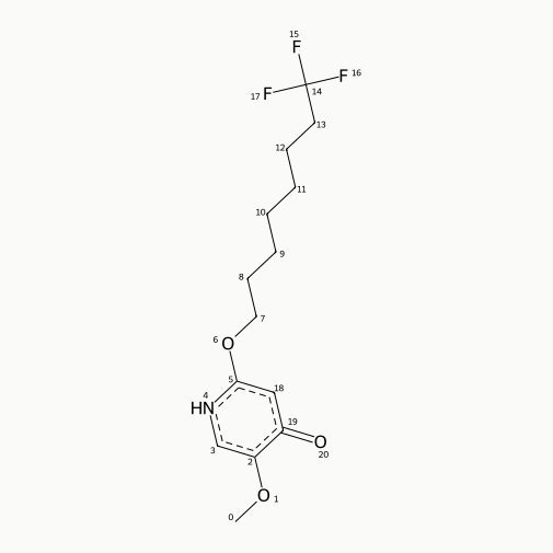 COc1c[nH]c(OCCCCCCCC(F)(F)F)cc1=O